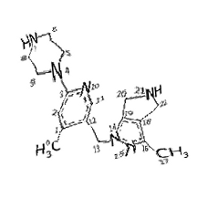 Cc1cc(N2CCNCC2)ncc1Cn1nc(C)c2c1CNC2